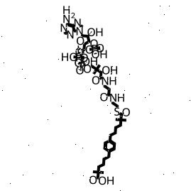 CC(C)(CCCCc1ccc(CCCCC(C)(C)C(=O)SCCNC(=O)CCNC(=O)[C@H](O)C(C)(C)COP(=O)(O)OP(=O)(O)OCC2O[C@@H](n3cnc4c(N)ncnc43)[C@H](O)[C@@H]2OP(=O)(O)O)cc1)C(=O)O